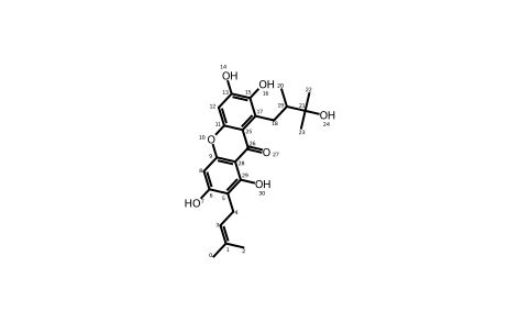 CC(C)=CCc1c(O)cc2oc3cc(O)c(O)c(CC(C)C(C)(C)O)c3c(=O)c2c1O